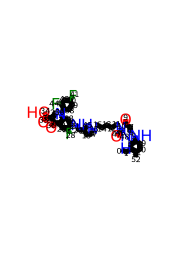 CCc1cc(Nc2cc(=O)n(CCCCCN3CCC(CNc4cc5c(cc4F)c(=O)c(C(=O)O)cn5-c4ccc(F)cc4F)C3)c(=O)[nH]2)ccc1C